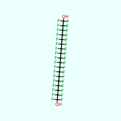 OC(F)(F)C(F)(F)C(F)(F)C(F)(F)C(F)(F)C(F)(F)C(F)(F)C(F)(F)C(F)(F)C(F)(F)C(F)(F)C(F)(F)C(F)(F)C(F)(F)C(F)(F)C(F)(F)C(F)(F)C(O)(F)F